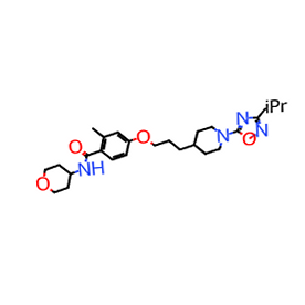 Cc1cc(OCCCC2CCN(c3nc(C(C)C)no3)CC2)ccc1C(=O)NC1CCOCC1